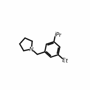 CCc1cc(CN2CCCC2)cc(C(C)C)c1